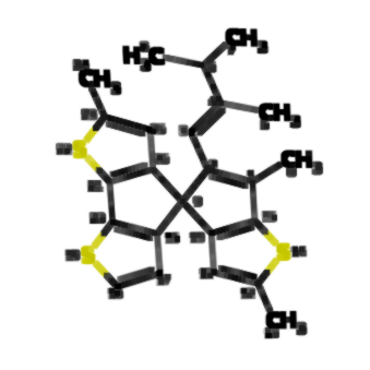 CC1=C(/C=C(\C)C(C)C)C2(c3cc(C)sc31)c1ccsc1-c1sc(C)cc12